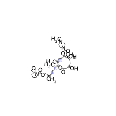 C/C(=C\C=C\[C@@H](C)COC(=O)N1CCCC12COC2)[C@H]1OC(=O)C[C@H](O)CC[C@@](C)(O)[C@@H](OC(=O)N2CCN(C)CC2)/C=C/[C@@H]1C